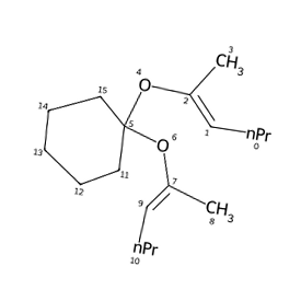 CCCC=C(C)OC1(OC(C)=CCCC)CCCCC1